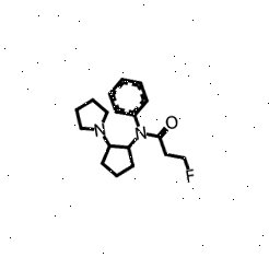 O=C(CCF)N(c1ccccc1)C1CCCC1N1CCCC1